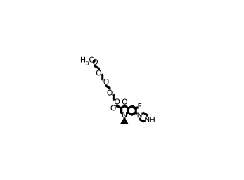 COCCOCCOCCOCCOC(=O)c1cn(C2CC2)c2cc(N3CCNCC3)c(F)cc2c1=O